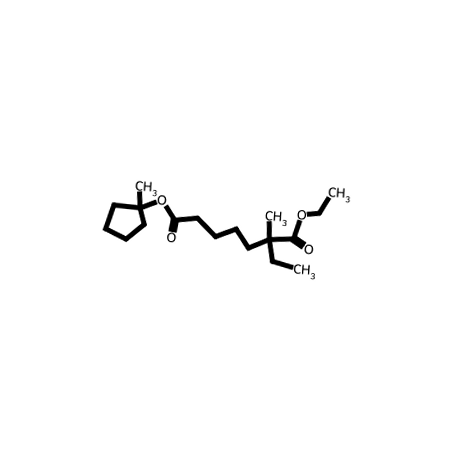 CCOC(=O)C(C)(CC)CCCCC(=O)OC1(C)CCCC1